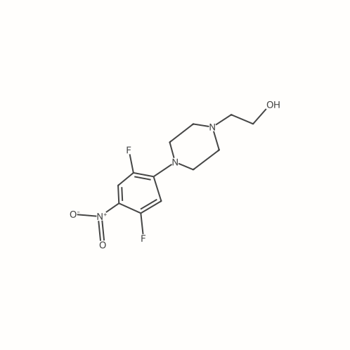 O=[N+]([O-])c1cc(F)c(N2CCN(CCO)CC2)cc1F